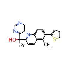 CC(C)C(O)(c1ccncn1)c1ccc2c(C(F)(F)F)c(-c3cccs3)ccc2n1